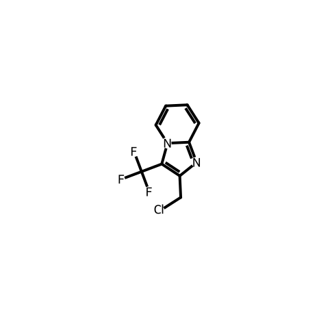 FC(F)(F)c1c(CCl)nc2ccccn12